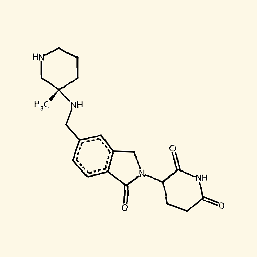 C[C@]1(NCc2ccc3c(c2)CN(C2CCC(=O)NC2=O)C3=O)CCCNC1